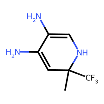 CC1(C(F)(F)F)C=C(N)C(N)=CN1